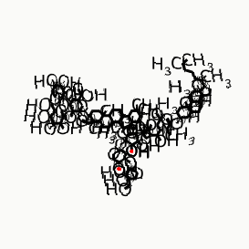 CC(C)CCC[C@@H](C)[C@H]1CC[C@H]2[C@@H]3CC[C@H]4C[C@@H](OC(=O)N(C)[C@H]5C(CO)O[C@@H]6C(OC6(OC(=O)[C@]67CCC(C)(C)CC6C6=CCC8C9(C)CC[C@H](O[C@@H]%10OC(C(=O)O)[C@@H](O)[C@H](O[C@@H]%11OC[C@@H](O)[C@H](O)C%11O)C%10O[C@@H]%10OC(CO)[C@H](O)[C@H](O)C%10O)[C@](C)(C=O)[C@@H]9CC[C@]8(C)[C@]6(C)CC7O)[C@@H]6OC(C)[C@H](O[C@@H]7OC[C@@H](O)C(O[C@@H]8OC[C@](O)(CO)C8O)C7O)C(O)C6O)C5O)CC[C@]4(C)[C@H]3CC[C@]12C